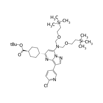 CC(C)(C)OC(=O)[C@H]1CC[C@H](c2cc(N(COCC[Si](C)(C)C)COCC[Si](C)(C)C)n3ncc(-c4ccc(Cl)nc4)c3n2)CC1